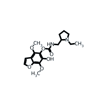 CCN1CCCC1CNC(=O)Oc1c(O)c(OC)c2occc2c1OC